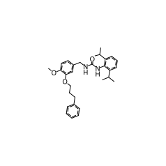 COc1ccc(CNC(=O)Nc2c(C(C)C)cccc2C(C)C)cc1OCCCc1ccccc1